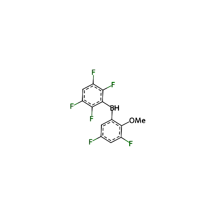 COc1c(F)cc(F)cc1Bc1c(F)c(F)cc(F)c1F